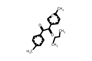 CCCC.Cc1ccc(C(=O)C(=O)c2ccc(C)cc2)cc1